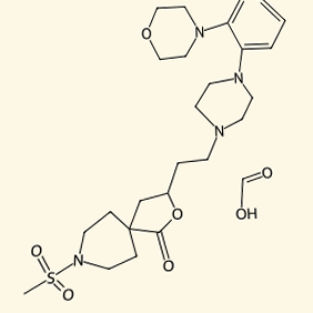 CS(=O)(=O)N1CCC2(CC1)CC(CCN1CCN(c3ccccc3N3CCOCC3)CC1)OC2=O.O=CO